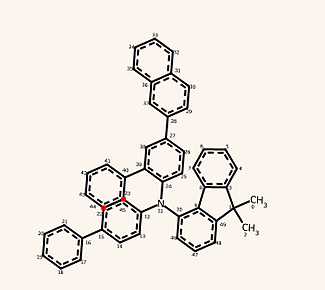 CC1(C)c2ccccc2-c2c(N(c3ccc(-c4ccccc4)cc3)c3ccc(-c4ccc5ccccc5c4)cc3-c3ccccc3)cccc21